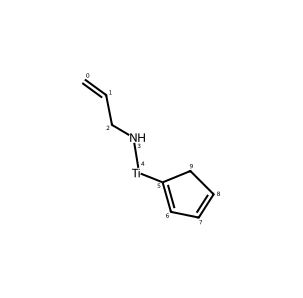 C=CC[NH][Ti][C]1=CC=CC1